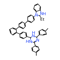 CCC1Nc2ccccc2N1c1ccc(-c2ccc(-c3ccccc3-c3ccc(C4NC(c5ccc(C)cc5)=NC(c5ccc(C)cc5)N4)cc3)cc2)cc1